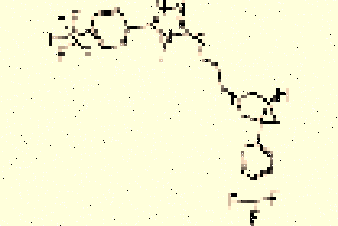 Cn1c(SCCCN2C[C@@H]3C[C@]3(c3ccc(C(F)(F)F)cc3)C2)nnc1-c1ccc(S(F)(F)(F)(F)F)cc1